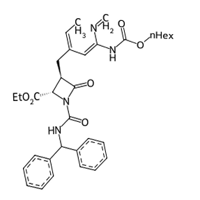 C=N/C(=C\C(=C/C)C[C@H]1C(=O)N(C(=O)NC(c2ccccc2)c2ccccc2)[C@@H]1C(=O)OCC)NC(=O)OCCCCCC